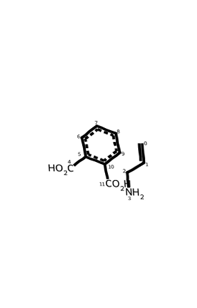 C=CCN.O=C(O)c1ccccc1C(=O)O